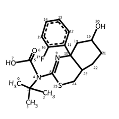 CC(C)(C)N(C(=O)O)C1=NC2(c3ccccc3F)CC(O)CCC2CS1